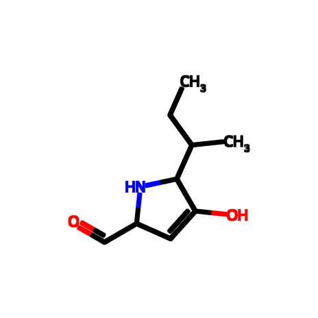 CCC(C)C1NC(C=O)C=C1O